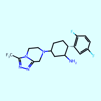 NC1CC(N2CCn3c(nnc3C(F)(F)F)C2)CC[C@@H]1c1cc(F)ccc1F